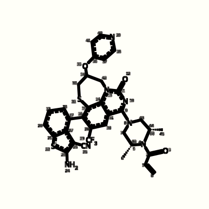 C=CC(=O)N1[C@H](C)CN(c2nc(=O)n3c4c(c(-c5cccc6sc(N)c(C#N)c56)c(C(F)(F)F)cc24)SCC(Oc2ccncc2)C3)C[C@@H]1C